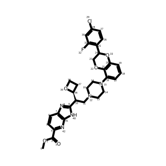 COC(=O)c1ccc2nc(C(CN3CCN(c4cccc5c4OCC(c4ccc(Cl)cc4F)O5)CC3)[C@@H]3CCO3)[nH]c2n1